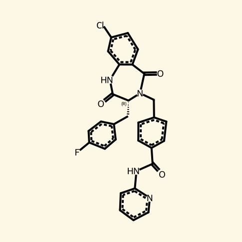 O=C(Nc1ccccn1)c1ccc(CN2C(=O)c3ccc(Cl)cc3NC(=O)[C@H]2Cc2ccc(F)cc2)cc1